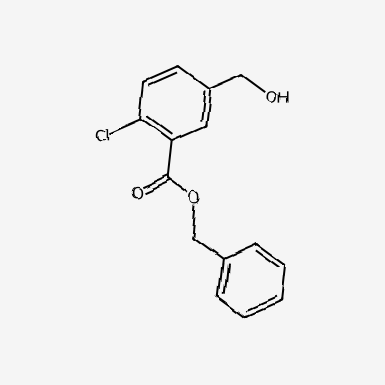 O=C(OCc1ccccc1)c1cc(CO)ccc1Cl